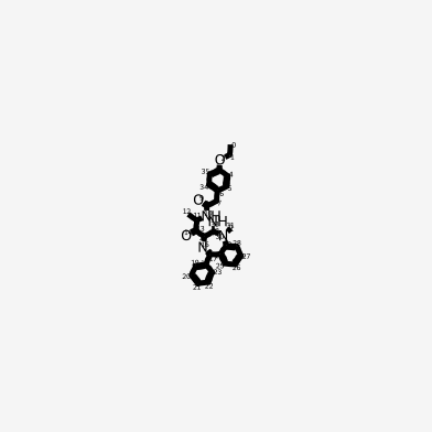 CCOc1ccc(CC(=O)NC(C)C(=O)C2N=C(c3ccccc3)c3ccccc3N(C)[C@@H]2N)cc1